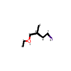 CCOCC(C)CCI